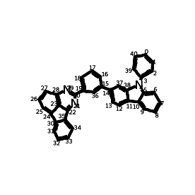 c1ccc(-n2c3ccccc3c3ccc(-c4cccc(-c5nc6c7c(cccc7n5)-c5ccccc5-6)c4)cc32)cc1